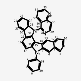 c1ccc(-n2c3cc4ccccc4cc3c3c2ccc2c4ccccc4n(-c4nccc5ncccc45)c23)cc1